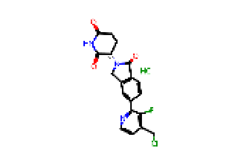 Cl.O=C1CC[C@H](N2Cc3cc(-c4nccc(CCl)c4F)ccc3C2=O)C(=O)N1